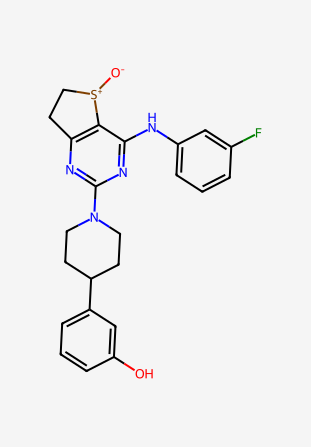 [O-][S+]1CCc2nc(N3CCC(c4cccc(O)c4)CC3)nc(Nc3cccc(F)c3)c21